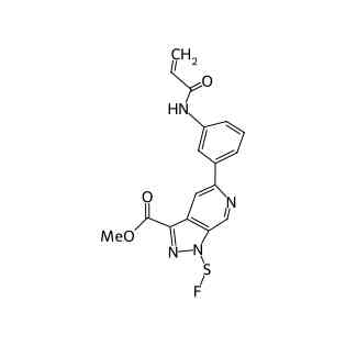 C=CC(=O)Nc1cccc(-c2cc3c(C(=O)OC)nn(SF)c3cn2)c1